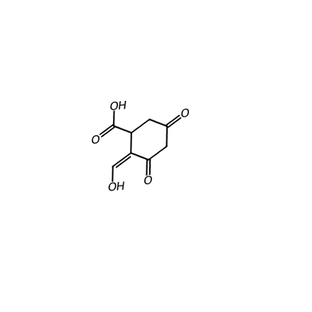 O=C1CC(=O)C(=CO)C(C(=O)O)C1